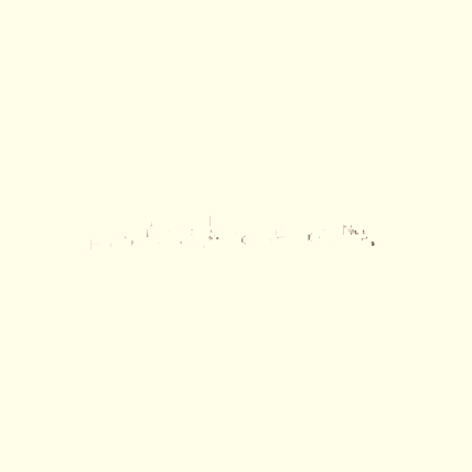 CCOC(=O)CCCCCNCCOCCOCCOCCN=[N+]=[N-]